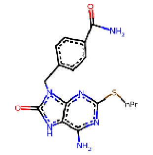 CCCSc1nc(N)c2[nH]c(=O)n(Cc3ccc(C(N)=O)cc3)c2n1